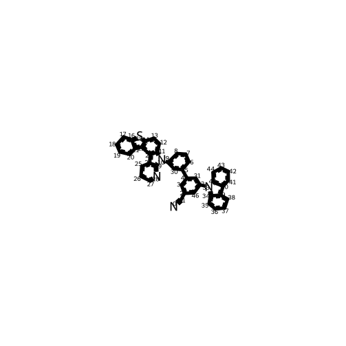 N#Cc1cc(-c2cccc(-n3c4ccc5sc6ccccc6c5c4c4cccnc43)c2)cc(-n2c3ccccc3c3ccccc32)c1